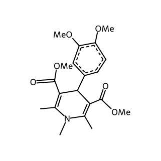 COC(=O)C1=C(C)N(C)C(C)=C(C(=O)OC)C1c1ccc(OC)c(OC)c1